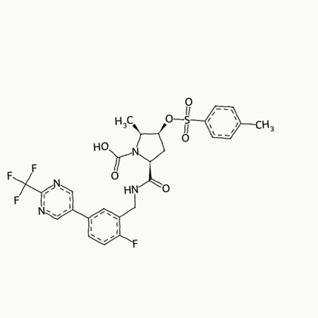 Cc1ccc(S(=O)(=O)O[C@H]2C[C@@H](C(=O)NCc3cc(-c4cnc(C(F)(F)F)nc4)ccc3F)N(C(=O)O)[C@H]2C)cc1